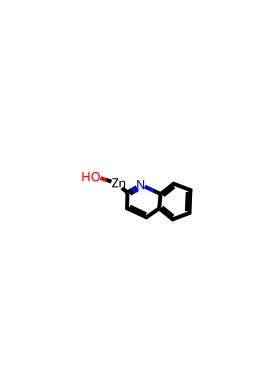 [OH][Zn][c]1ccc2ccccc2n1